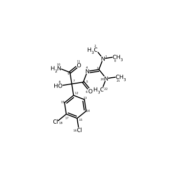 CN(C)C(=NC(=O)C(O)(C(N)=O)c1ccc(Cl)c(Cl)c1)N(C)C